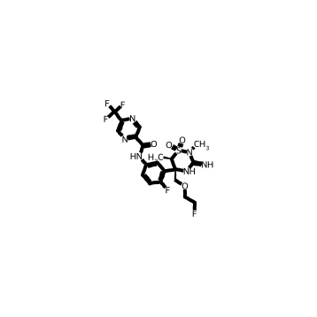 C[C@@H]1[C@@](COCCF)(c2cc(NC(=O)c3cnc(C(F)(F)F)cn3)ccc2F)NC(=N)N(C)S1(=O)=O